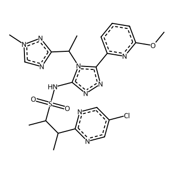 COc1cccc(-c2nnc(NS(=O)(=O)C(C)C(C)c3ncc(Cl)cn3)n2C(C)c2ncn(C)n2)n1